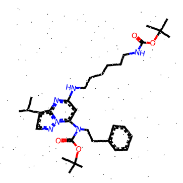 CC(C)c1cnn2c(N(CCc3ccccc3)C(=O)OC(C)(C)C)cc(NCCCCCCNC(=O)OC(C)(C)C)nc12